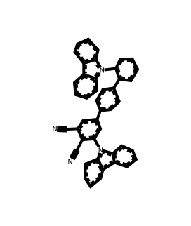 N#Cc1cc(-c2ccc(-c3ccccc3-n3c4ccccc4c4ccccc43)cc2)cc(-n2c3ccccc3c3ccccc32)c1C#N